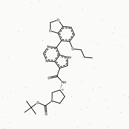 CCCOc1ccc2c(c1-c1ncnc3c(C(=O)N[C@@H]4CCN(C(=O)OC(C)(C)C)C4)c[nH]c13)OCO2